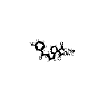 COC(=O)C1(C(=O)OC)CCn2c(C(=O)c3cccc(C)c3)ccc21